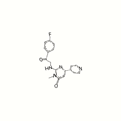 Cn1c(NCC(=O)c2ccc(F)cc2)nc(-c2ccncc2)cc1=O